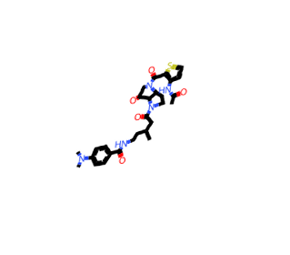 CC(=O)Nc1ccsc1C(=O)N1CC(=O)C2C1CCN2C(=O)CC(C)CCNC(=O)c1ccc(N(C)C)cc1